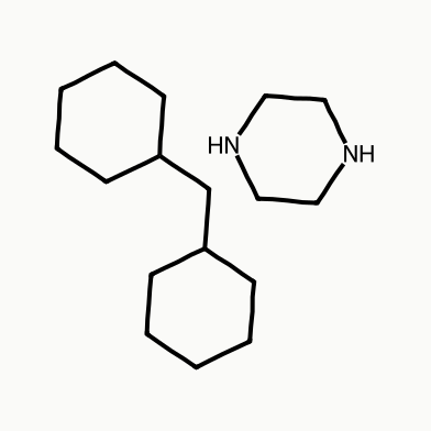 C1CCC(CC2CCCCC2)CC1.C1CNCCN1